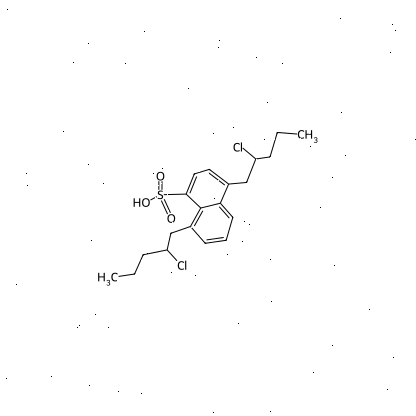 CCCC(Cl)Cc1ccc(S(=O)(=O)O)c2c(CC(Cl)CCC)cccc12